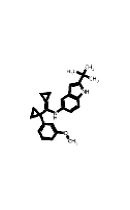 COc1cccc(C2(C(Nc3ccc4[nH]c(C(C)(C)C)cc4c3)=C3CC3)CC2)c1